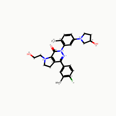 COc1cc(-c2nn(-c3cc(N4CCC(O)C4)ccc3C(F)(F)F)c(=O)c3c2CCN3CCO)ccc1F